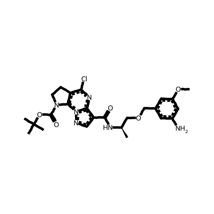 COc1cc(N)cc(COC[C@@H](C)NC(=O)c2cnn3c4c(c(Cl)nc23)CCN4C(=O)OC(C)(C)C)c1